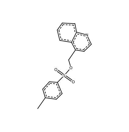 Cc1ccc(S(=O)(=O)OCc2ccnc3ccccc23)cc1